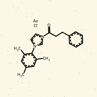 Cc1cc(C)c(-[n+]2ccn(C(=O)CCc3ccccc3)c2)c(C)c1.[Au].[Cl-]